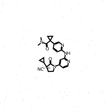 CN(C)C(=O)C1(c2ccc(Nc3cc(N4CC[C@@](C#N)(C5CC5)C4=O)ccn3)nc2)CC1